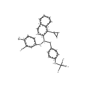 Fc1cc(ON(Cc2ccc(OC(F)(F)F)cc2)c2ncc3ccccc3c2C2CC2)ccc1Br